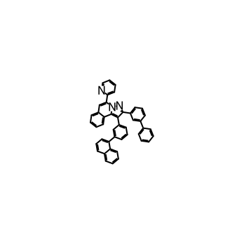 c1ccc(-c2cccc(-c3nn4c(-c5ccccn5)cc5ccccc5c4c3-c3cccc(-c4cccc5ccccc45)c3)c2)cc1